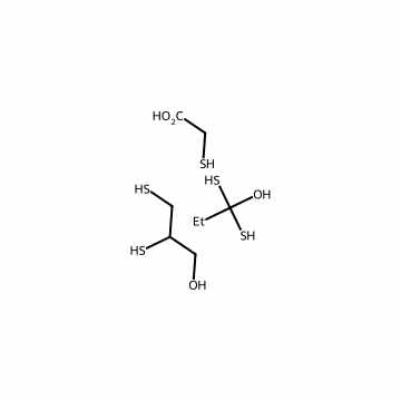 CCC(O)(S)S.O=C(O)CS.OCC(S)CS